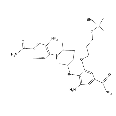 CC(CCC(C)Nc1c(N)cc(C(N)=O)cc1OCCCO[Si](C)(C)C(C)(C)C)Nc1ccc(C(N)=O)cc1N